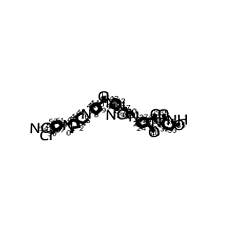 CC1CC2(CCN(c3ccc(C(=O)N4CCN(CC5(C#N)CN(c6ccc7c(c6)C(=O)N(C6CCC(=O)NC6=O)C7=O)C5)CC4)cc3)CC2)CN1c1ccc(C#N)c(Cl)c1